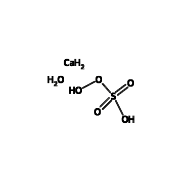 O.O=S(=O)(O)OO.[CaH2]